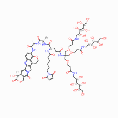 CC[C@@]1(O)C(=O)OCc2c1cc1n(c2=O)Cc2c-1nc1ccc(NC(=O)[C@H](C)NC(=O)[C@@H](NC(=O)[C@H](CCC(=O)NC(COCCC(=O)NC[C@H](O)[C@@H](O)[C@H](O)[C@H](O)CO)(COCCC(=O)NC[C@H](O)[C@@H](O)[C@H](O)[C@H](O)CO)COCCC(=O)NC[C@H](O)[C@@H](O)[C@H](O)[C@H](O)CO)NC(=O)CCCCCN3C(=O)C=CC3=O)C(C)C)c3c1c2CCO3